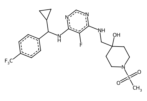 CS(=O)(=O)N1CCC(O)(CNc2ncnc(NC(c3ccc(C(F)(F)F)cc3)C3CC3)c2F)CC1